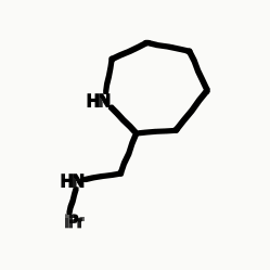 CC(C)NCC1CCCCCN1